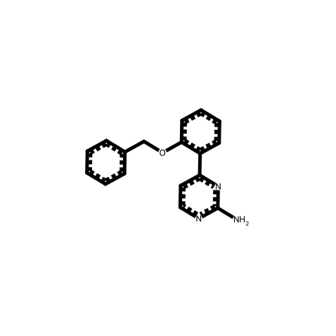 Nc1nccc(-c2ccccc2OCc2ccccc2)n1